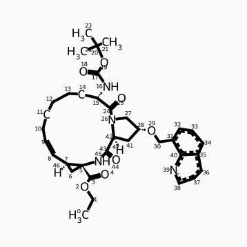 CCOC(=O)[C@@]12C[C@H]1/C=C\CCCCC[C@H](NC(=O)OC(C)(C)C)C(=O)N1C[C@H](OCc3cccc4cccnc34)C[C@H]1C(=O)N2